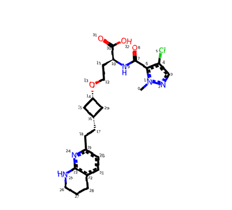 Cn1ncc(Cl)c1C(=O)N[C@@H](CCO[C@H]1C[C@@H](CCc2ccc3c(n2)NCCC3)C1)C(=O)O